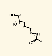 CC(=O)NCCCC[C@H](O)CO